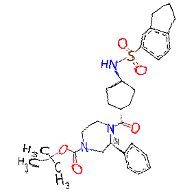 CC(C)(C)OC(=O)N1CCN(C(=O)[C@H]2CC[C@H](NS(=O)(=O)c3ccc4c(c3)CCC4)CC2)[C@@H](c2ccccc2)C1